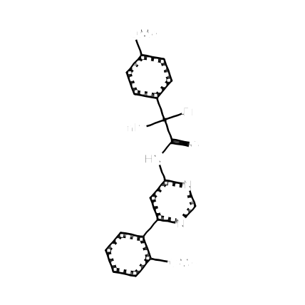 CCCC(CC)(C(=O)Nc1cc(-c2ccccc2OC)ncn1)c1ccc(OC)cc1